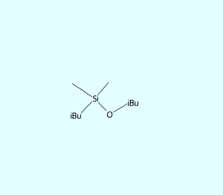 CCC(C)O[Si](C)(C)C(C)CC